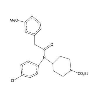 CCOC(=O)N1CCC(N(C(=O)Cc2cccc(OC)c2)c2ccc(Cl)cc2)CC1